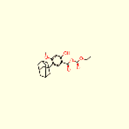 CCOC(=O)OC(=O)c1cc(C23CC4CC(CC(C4)C2)C3)c(OC)cc1O